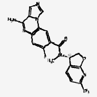 CN(C(=O)c1cc2c(cc1F)nc(N)c1cncn12)[C@@H]1COc2nc(C(F)(F)F)ccc21